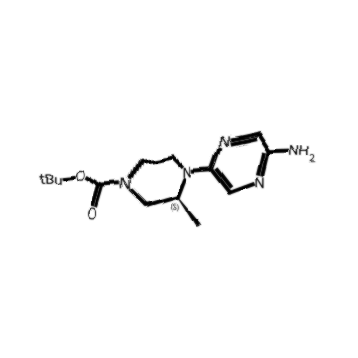 C[C@H]1CN(C(=O)OC(C)(C)C)CCN1c1cnc(N)cn1